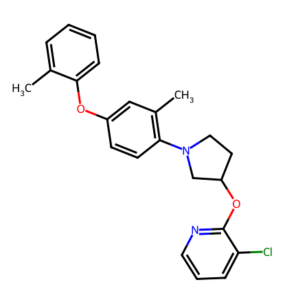 Cc1ccccc1Oc1ccc(N2CCC(Oc3ncccc3Cl)C2)c(C)c1